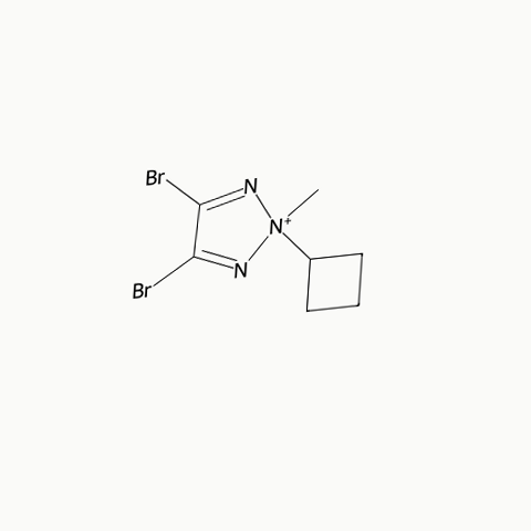 C[N+]1(C2CCC2)N=C(Br)C(Br)=N1